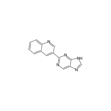 [c]1nc2ccccc2cc1-c1ncc2nc[nH]c2n1